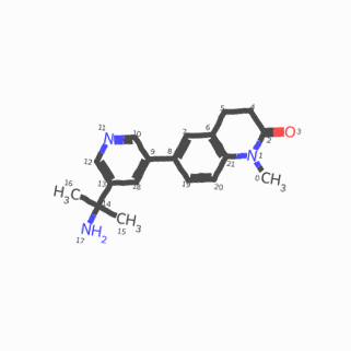 CN1C(=O)CCc2cc(-c3cncc(C(C)(C)N)c3)ccc21